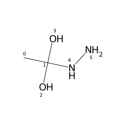 CC(O)(O)NN